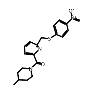 C=[N+]([O-])c1ccc(SCc2cccc(C(=O)N3CCC(C)CC3)n2)cc1